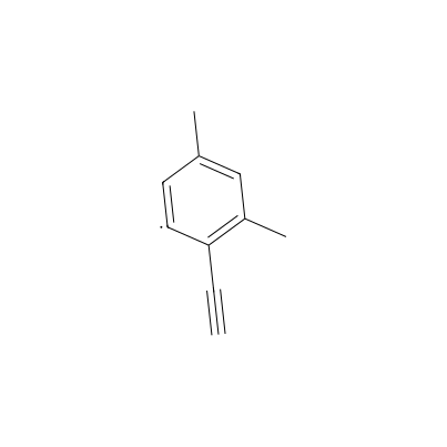 C#Cc1[c]cc(C)cc1C